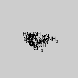 COc1ccc(OP(=O)(O)OP(=O)(O)OP(=O)(O)OC[C@H]2O[C@@H](n3cnc4c(N)ncnc43)[C@H](O)[C@@H]2O)cc1